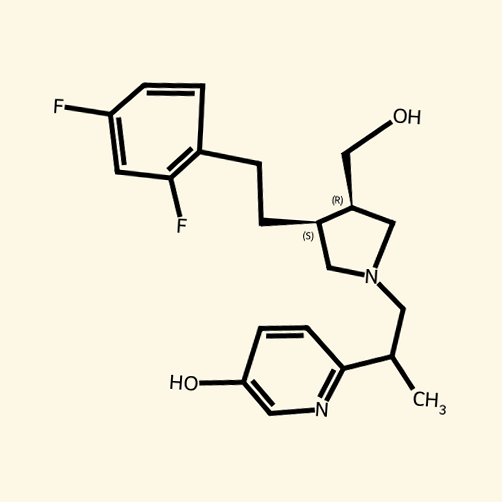 CC(CN1C[C@@H](CCc2ccc(F)cc2F)[C@@H](CO)C1)c1ccc(O)cn1